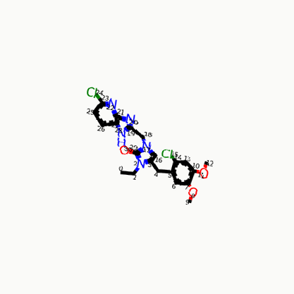 CCn1c(Cc2cc(OC)c(OC)cc2Cl)cn(Cc2nc3nc(Cl)ccc3[nH]2)c1=O